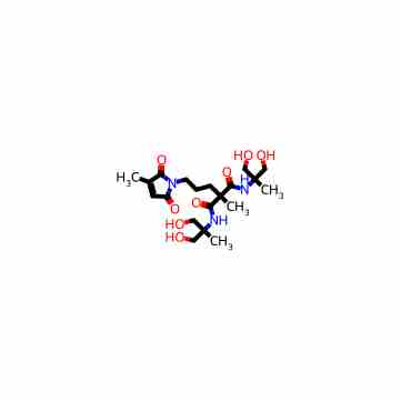 CC1=CC(=O)N(CCCC(C)(C(=O)NC(C)(CO)CO)C(=O)NC(C)(CO)CO)C1=O